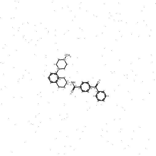 CN1CCN(c2cccc3c2C[C@H](NC(=O)c2ccc(C(=O)c4ccccc4)cc2)CC3)CC1